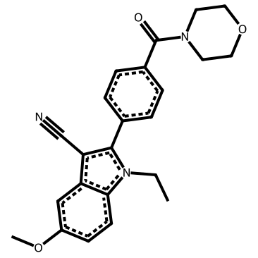 CCn1c(-c2ccc(C(=O)N3CCOCC3)cc2)c(C#N)c2cc(OC)ccc21